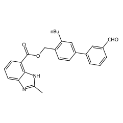 CCCCc1cc(-c2cccc(C=O)c2)ccc1COC(=O)c1cccc2nc(C)[nH]c12